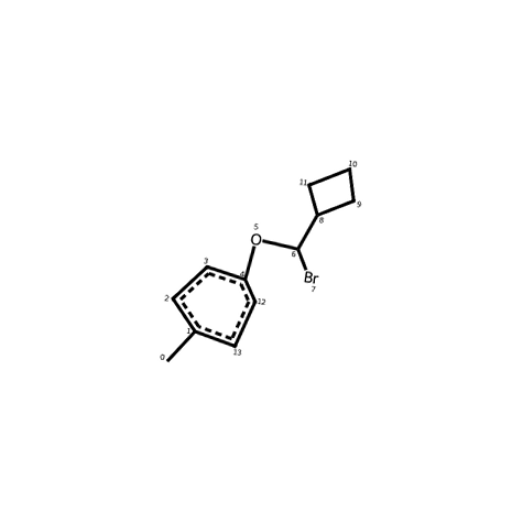 Cc1ccc(OC(Br)C2CCC2)cc1